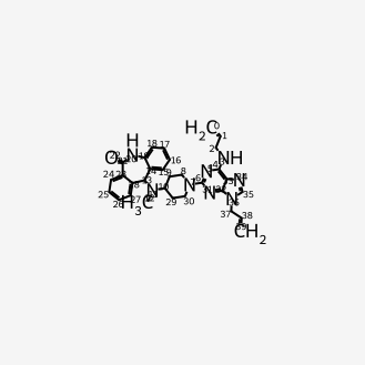 C=CCNc1nc(N2CCC(N(C)C3c4ccccc4NC(=O)c4ccccc43)CC2)nc2c1ncn2CC=C